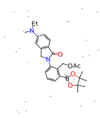 CCN(C)c1ccc2c(c1)CN(c1cccc(B3OC(C)(C)C(C)(C)O3)c1COC(C)=O)C2=O